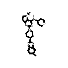 Cc1ccc2sc(C3CCN(c4nc5c(c(NC6CCOCC6)n4)[S+]([O-])CC5)CC3)nc2c1